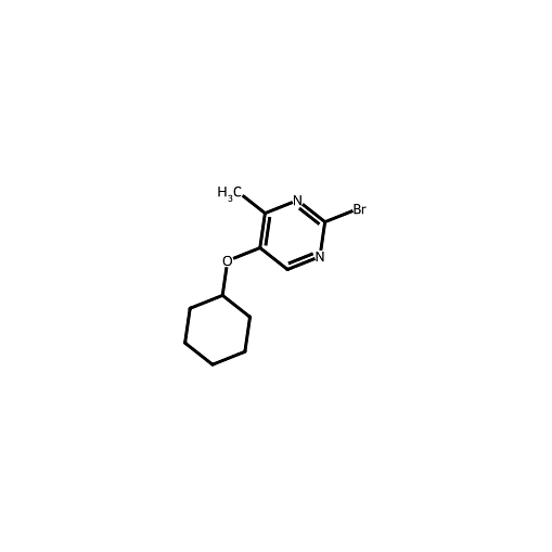 Cc1nc(Br)ncc1OC1CCCCC1